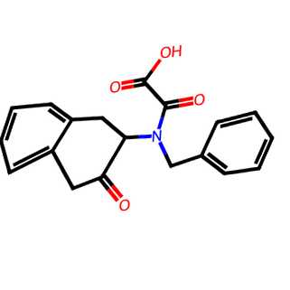 O=C(O)C(=O)N(Cc1ccccc1)C1Cc2ccccc2CC1=O